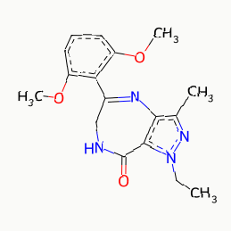 CCn1nc(C)c2c1C(=O)NCC(c1c(OC)cccc1OC)=N2